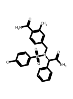 Cc1cc(CN([C@@H](C(N)=O)c2ccccc2)S(=O)(=O)c2ccc(Cl)cc2)ccc1C(N)=O